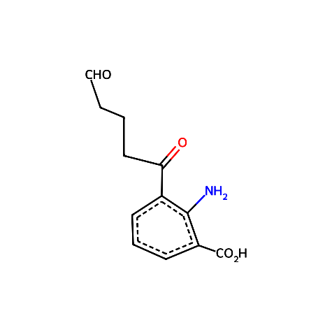 Nc1c(C(=O)O)cccc1C(=O)CCCC=O